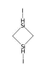 I[SiH]1C[SiH](I)C1